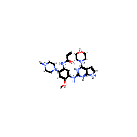 C=CC(=O)Nc1cc(Nc2nc(N3CCOCC3)c3cc[nH]c3n2)c(OC)cc1N1CCN(C)CC1